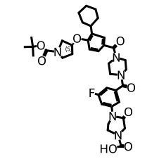 CC(C)(C)OC(=O)N1CC[C@H](Oc2ccc(C(=O)N3CCN(C(=O)c4cc(F)cc(N5CCN(C(=O)O)CC5=O)c4)CC3)cc2C2CCCCC2)C1